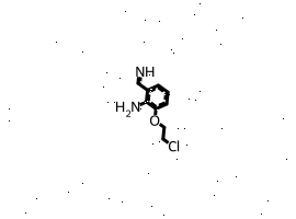 N=Cc1cccc(OCCCl)c1N